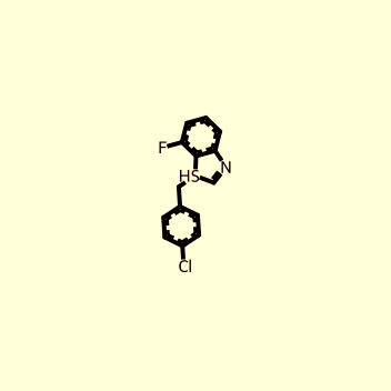 Fc1cccc2c1[SH](Cc1ccc(Cl)cc1)C=N2